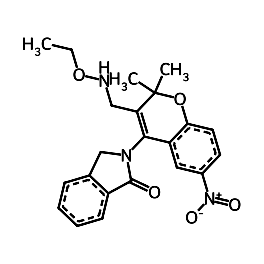 CCONCC1=C(N2Cc3ccccc3C2=O)c2cc([N+](=O)[O-])ccc2OC1(C)C